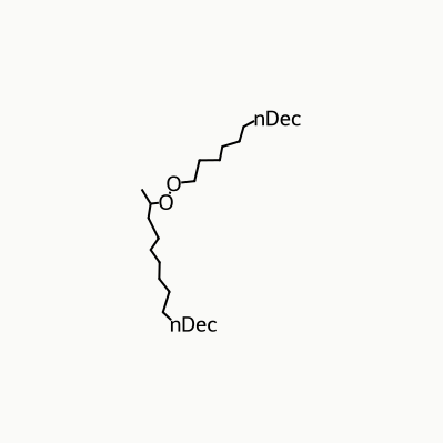 CCCCCCCCCCCCCCCCCC(C)OOCCCCCCCCCCCCCCCC